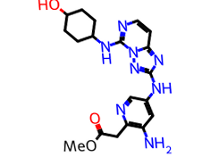 COC(=O)Cc1ncc(Nc2nc3ccnc(NC4CCC(O)CC4)n3n2)cc1N